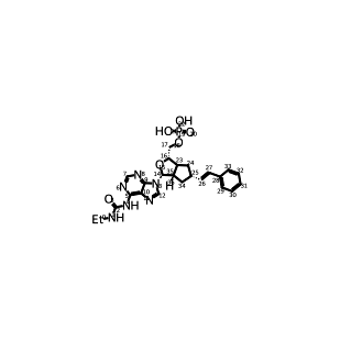 CCNC(=O)Nc1ncnc2c1ncn2[C@@H]1O[C@H](COP(=O)(O)O)C2C[C@H](/C=C/c3ccccc3)C[C@@H]21